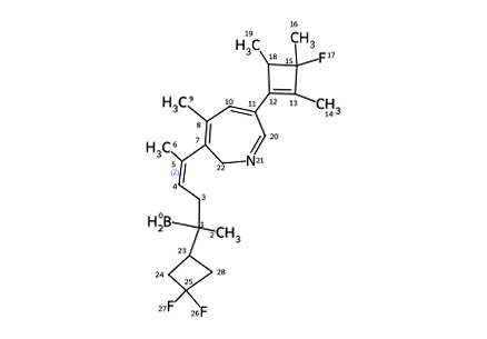 BC(C)(C/C=C(/C)C1=C(C)C=C(C2=C(C)C(C)(F)C2C)C=NC1)C1CC(F)(F)C1